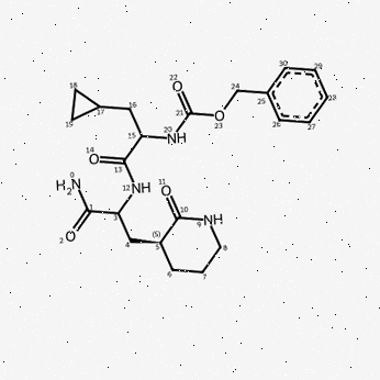 NC(=O)C(C[C@@H]1CCCNC1=O)NC(=O)C(CC1CC1)NC(=O)OCc1ccccc1